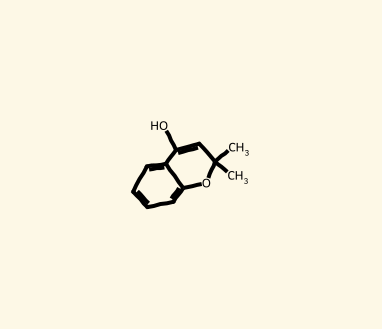 CC1(C)C=C(O)c2ccccc2O1